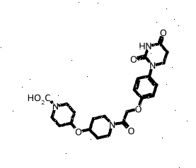 O=C1CCN(c2ccc(OCC(=O)N3CCC(OC4CCN(C(=O)O)CC4)CC3)cc2)C(=O)N1